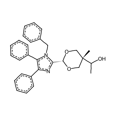 CC(O)[C@]1(C)CO[C@H](c2nc(-c3ccccc3)c(-c3ccccc3)n2Cc2ccccc2)OC1